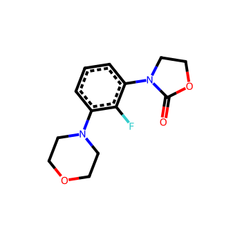 O=C1OCCN1c1cccc(N2CCOCC2)c1F